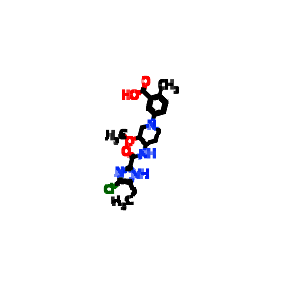 CCc1[nH]c(C(=O)NC2CCN(c3ccc(C)c(C(=O)O)c3)CC2OC)nc1Cl